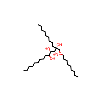 CCCCCCCCCOC[C@](O)(CCCCCCCCC)[C@H](O)[C@@H](O)C(O)CCCCCCCCC